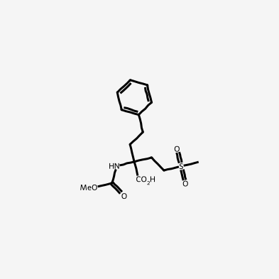 COC(=O)NC(CCc1ccccc1)(CCS(C)(=O)=O)C(=O)O